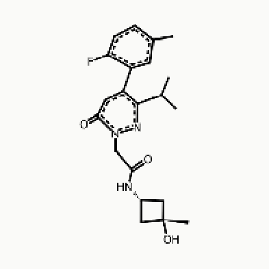 Cc1ccc(F)c(-c2cc(=O)n(CC(=O)N[C@H]3C[C@@](C)(O)C3)nc2C(C)C)c1